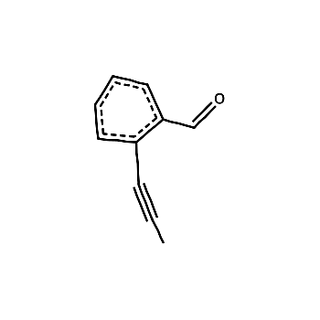 CC#Cc1ccccc1C=O